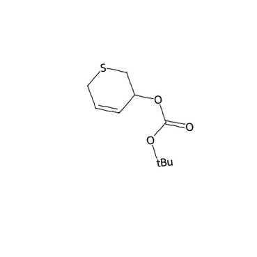 CC(C)(C)OC(=O)OC1C=CCSC1